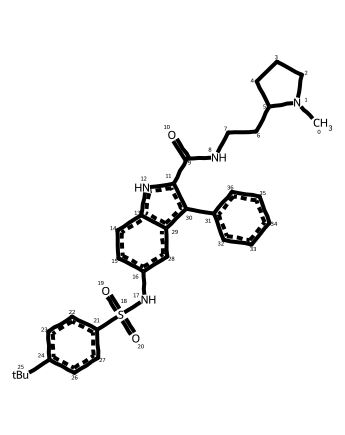 CN1CCCC1CCNC(=O)c1[nH]c2ccc(NS(=O)(=O)c3ccc(C(C)(C)C)cc3)cc2c1-c1ccccc1